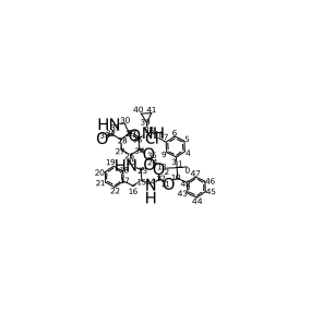 CC(C)(c1cccc(Cl)c1)C(OC(=O)N[C@@H](Cc1ccccc1)C(=O)N[C@@H](C[C@@H]1CCNC1=O)C(=O)C(=O)NC1CC1)c1ccccc1